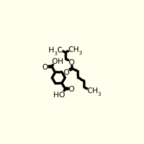 CCCCCC(=O)OCC(C)C.O=C(O)C1CCC(C(=O)O)CC1